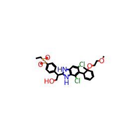 CCS(=O)(=O)c1ccc(C(CO)C2Nc3cc(Cl)c(C4C=CC=CC4(C)OCCOC)c(Cl)c3N2)cc1